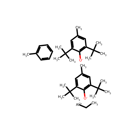 C[CH2][Al+2].Cc1cc(C(C)(C)C)c([O-])c(C(C)(C)C)c1.Cc1cc(C(C)(C)C)c([O-])c(C(C)(C)C)c1.Cc1ccccc1